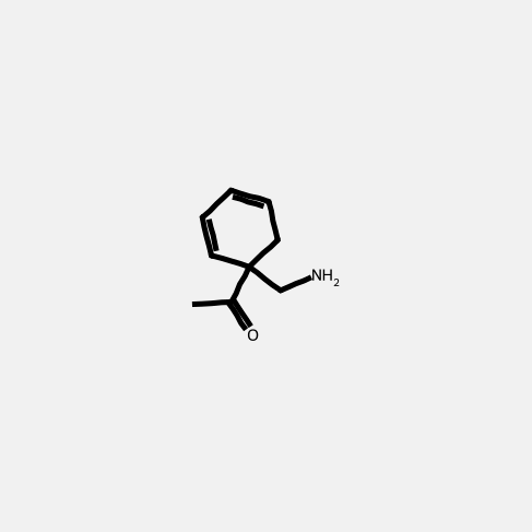 CC(=O)C1(CN)C=CC=CC1